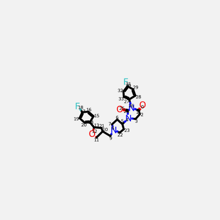 O=C1CCN(C2CCN(CC3COC(c4ccc(F)cc4)C3)CC2)C(=O)N1c1ccc(F)cc1